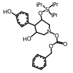 CC(C)[Si](OC1CN(OC(=O)OCc2ccccc2)CC(O)C1c1ccc(O)cc1)(C(C)C)C(C)C